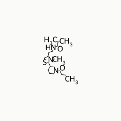 CCCC(=O)N1CCCC(C2SCC(CCNC(=O)C(C)C)N2C)C1